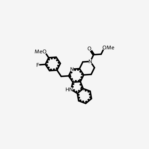 COCC(=O)N1CCc2c(nc(Cc3ccc(OC)c(F)c3)c3[nH]c4ccccc4c23)C1